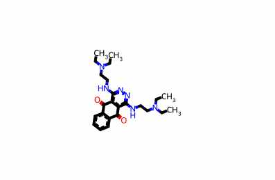 CCN(CC)CCNc1nnc(NCCN(CC)CC)c2c1C(=O)c1ccccc1C2=O